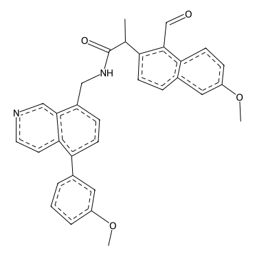 COc1cccc(-c2ccc(CNC(=O)C(C)c3ccc4cc(OC)ccc4c3C=O)c3cnccc23)c1